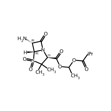 CC(OC(=O)C(C)C)OC(=O)[C@@H]1N2C(=O)[C@@H](N)[C@H]2S(=O)(=O)C1(C)C